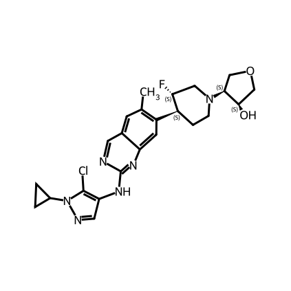 Cc1cc2cnc(Nc3cnn(C4CC4)c3Cl)nc2cc1[C@@H]1CCN([C@H]2COC[C@H]2O)C[C@H]1F